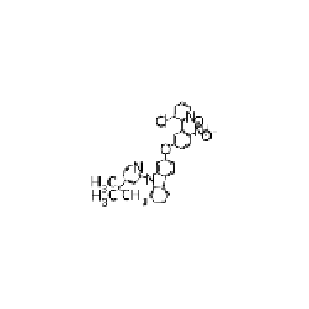 CC(C)(C)c1ccnc(-n2c3ccccc3c3ccc(Oc4ccc([N+](=O)[O-])c(-c5ncccc5Cl)c4)cc32)c1